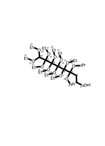 CCCCCCCCCCCCC(OCCC)(OCCC)C(OCC)(OCC)C(OCC)(OCC)C(OCC)(OCC)C(OCC)(OCC)[C](OCC)OCC